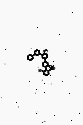 CCCc1ccc(-c2ccc(-c3c(Br)cccc3C3=CC3)c(C)c2)cc1-c1cccc(-c2ccccc2)c1